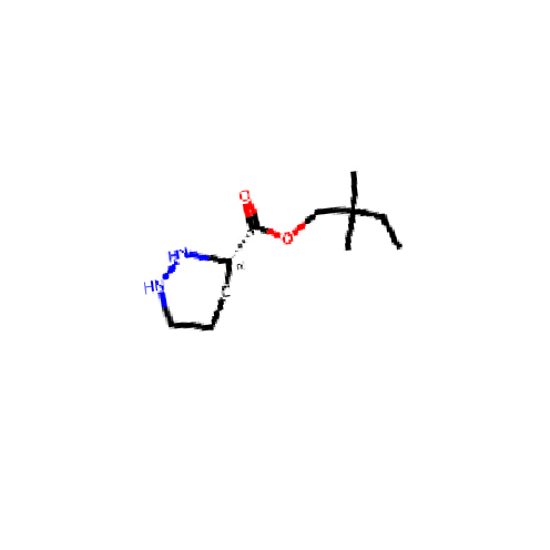 CCC(C)(C)COC(=O)[C@@H]1CCCNN1